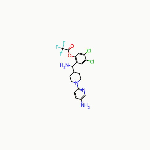 Nc1ccc(N2CCC([C@@H](N)c3cc(Cl)c(Cl)cc3OC(=O)C(F)(F)F)CC2)nc1